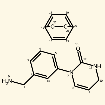 NCc1cccc(N2C=CCNC2=O)c1.c1cc2ccc1CO2